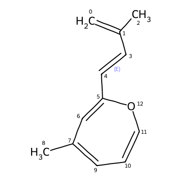 C=C(C)/C=C/C1=CC(C)=CC=CO1